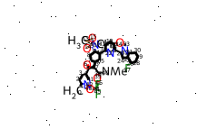 C=C1C=CC(c2oc3cc(N(C)S(C)(=O)=O)c(-c4ccc5c(n4)-c4cc6c(F)cccc6n4CO5)cc3c2C(=O)NC)=CN1OC(F)F